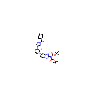 C[C@H](c1ccc(F)cc1)n1cc(-c2nccc(-c3ccn4nc(N(C(=O)OC(C)(C)C)C(=O)OC(C)(C)C)nc4c3)c2F)cn1